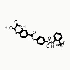 CC1Sc2ccc(C(=O)Nc3ccc(S(=O)(=O)Nc4ccccc4C(F)(F)F)cc3)cc2NC1=O